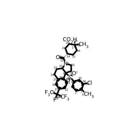 Cc1ccc(S(=O)(=O)C23CCN(C(=O)[C@H]4CC[C@](C)(C(=O)O)CC4)C2CCc2cc(C(F)(C(F)(F)F)C(F)(F)F)ccc23)cc1Cl